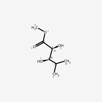 COC(=O)[C@@H](O)[C@H](O)C(C)C